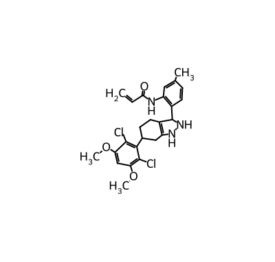 C=CC(=O)Nc1cc(C)ccc1C1NNC2=C1CCC(c1c(Cl)c(OC)cc(OC)c1Cl)C2